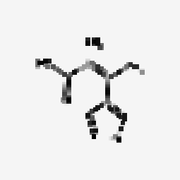 CC(C(=O)O)=C(C)c1ccsc1